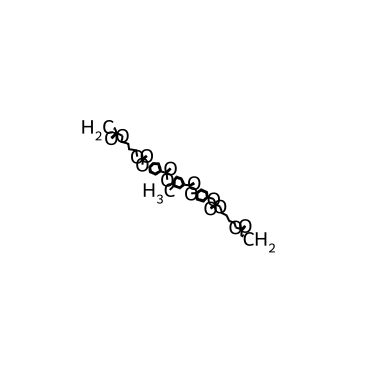 C=CC(=O)OCCCCOC(=O)Oc1ccc(OC(=O)c2ccc(OC(=O)c3ccc(OC(=O)OCCCCOC(=O)C=C)cc3)c(C)c2)cc1